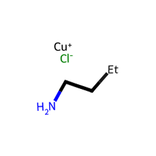 CCCCN.[Cl-].[Cu+]